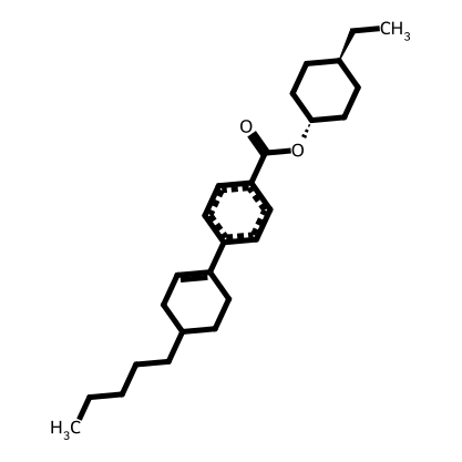 CCCCCC1CC=C(c2ccc(C(=O)O[C@H]3CC[C@H](CC)CC3)cc2)CC1